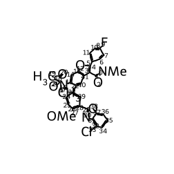 CNC(=O)c1c(-c2ccc(F)cc2)oc2cc(N(C)S(C)(=O)=O)c(-c3ccc(OC)c(-c4nc5c(Cl)cccc5o4)c3)cc12